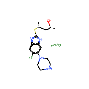 C[C@@H](O)C[C@H](C)Sc1nc2cc(Cl)c(N3CCNCC3)cc2[nH]1.Cl.Cl